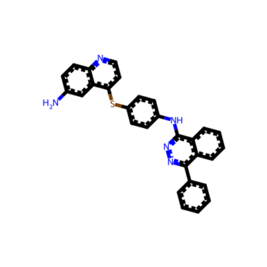 Nc1ccc2nccc(Sc3ccc(Nc4nnc(-c5ccccc5)c5ccccc45)cc3)c2c1